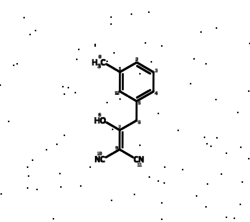 Cc1cccc(CC(O)=C(C#N)C#N)c1